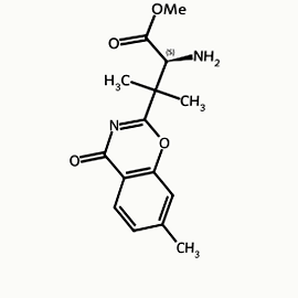 COC(=O)[C@@H](N)C(C)(C)c1nc(=O)c2ccc(C)cc2o1